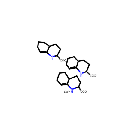 O=C([O-])C1CCC2CCCC=C2N1.O=C([O-])C1CCC2CCCC=C2N1.O=C([O-])C1CCC2CCCC=C2N1.[Ga+3]